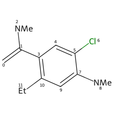 C=C(NC)c1cc(Cl)c(NC)cc1CC